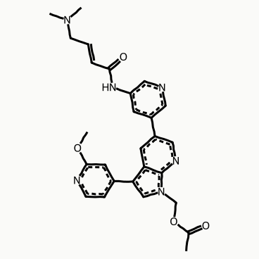 COc1cc(-c2cn(COC(C)=O)c3ncc(-c4cncc(NC(=O)C=CCN(C)C)c4)cc23)ccn1